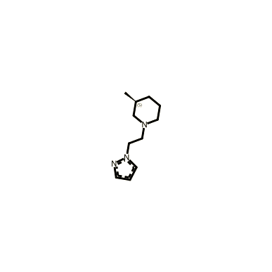 C[C@H]1CCCN(CCn2cccn2)C1